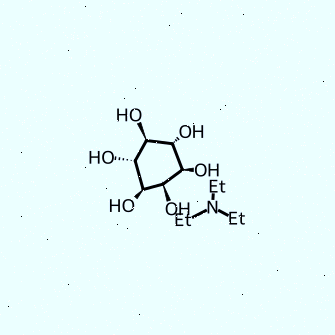 CCN(CC)CC.O[C@H]1[C@H](O)[C@@H](O)[C@H](O)[C@@H](O)[C@H]1O